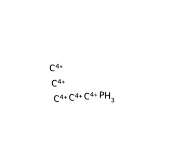 P.[C+4].[C+4].[C+4].[C+4].[C+4]